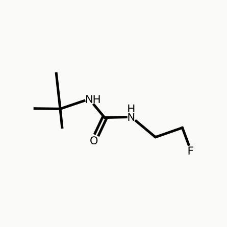 CC(C)(C)NC(=O)NCCF